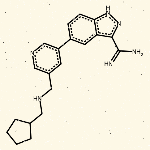 N=C(N)c1n[nH]c2ccc(-c3cncc(CNCC4CCCC4)c3)cc12